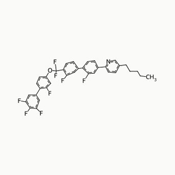 CCCCCc1ccc(-c2ccc(-c3ccc(C(F)(F)Oc4ccc(-c5cc(F)c(F)c(F)c5)c(F)c4)c(F)c3)c(F)c2)nc1